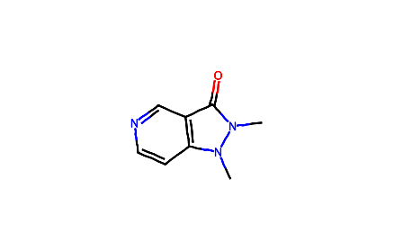 Cn1c(=O)c2cnccc2n1C